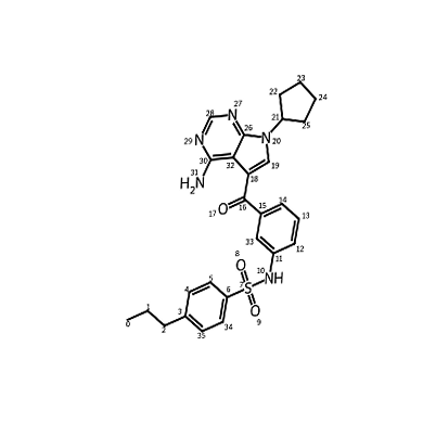 CCCc1ccc(S(=O)(=O)Nc2cccc(C(=O)c3cn(C4CCCC4)c4ncnc(N)c34)c2)cc1